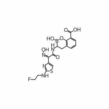 O=C(NC1Cc2cccc(C(=O)O)c2OB1O)C(=NO)c1csc(NCCF)n1